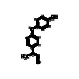 CC(C=O)c1ccc(Oc2ccc(O)cc2)cc1